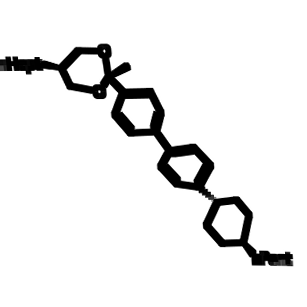 CCCCCCC[C@H]1CO[C@](C)(c2ccc(-c3ccc([C@H]4CC[C@H](CCCCC)CC4)cc3)cc2)OC1